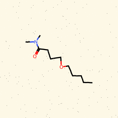 CCCCCOCCCC(=O)N(C)C